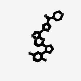 O=C(c1cnn(-c2cnn3ccc(N4CCCC4c4cc(F)ccc4F)nc23)c1)N1CCOCC1